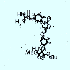 COC(=O)C(N)(Cc1ccc(OCC2CN(c3cccc(CNC(=N)N)c3)C(=O)O2)cc1)C(=O)OC(C)(C)C